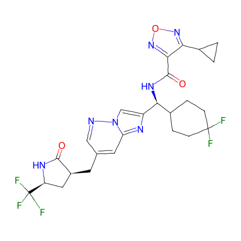 O=C(N[C@H](c1cn2ncc(C[C@H]3C[C@@H](C(F)(F)F)NC3=O)cc2n1)C1CCC(F)(F)CC1)c1nonc1C1CC1